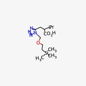 CC(C)C(Cc1nnnn1COCC[Si](C)(C)C)C(=O)O